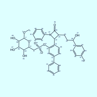 COC1OC(CS(=O)(=O)Oc2cc(-c3ccccc3)ccc2C2C(CCC(O)c3ccc(F)cc3)C(=O)N2c2ccccc2)C(O)C(O)C1O